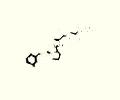 CNC(=O)CNC(=O)c1csc(C2CCCN2C(=O)OCc2cccc(Cl)c2)n1